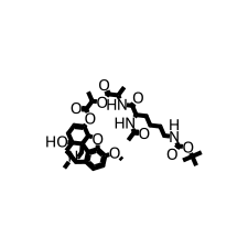 COc1ccc2c3c1OC1C(OC(=O)C(C)OC(=O)C(C)NC(=O)C(CCCCNC(=O)OC(C)(C)C)NC(C)=O)=CCC4(O)C(C2)N(C)CCC314